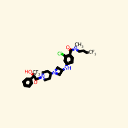 CN(CCCC(F)(F)F)C(=O)c1ccc(NC2CN(C3CCN(C(=O)[C@](O)(c4ccccc4)C(F)(F)F)CC3)C2)cc1Cl